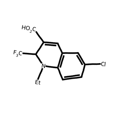 CCN1c2ccc(Cl)cc2C=C(C(=O)O)C1C(F)(F)F